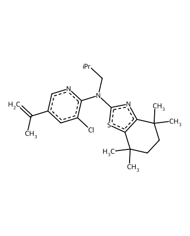 C=C(C)c1cnc(N(CC(C)C)c2nc3c(s2)C(C)(C)CCC3(C)C)c(Cl)c1